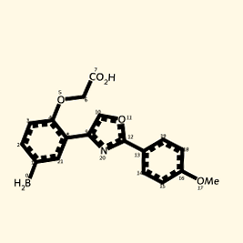 Bc1ccc(OCC(=O)O)c(-c2coc(-c3ccc(OC)cc3)n2)c1